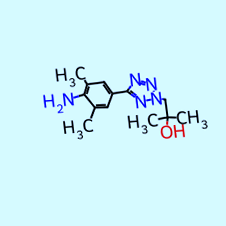 Cc1cc(-c2nnn(CC(C)(C)O)n2)cc(C)c1N